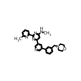 CNc1cc(-c2cncc(-c3cccc(CN4CCOCC4)c3)c2)nc(-c2cccc(C)n2)n1